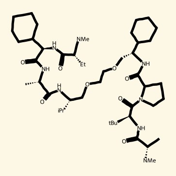 CC[C@@H](NC)C(=O)N[C@@H](C(=O)N[C@@H](C)C(=O)N[C@H](COCCOC[C@@H](NC(=O)C1CCCN1C(=O)[C@@H](NC(=O)[C@H](C)NC)C(C)(C)C)C1CCCCC1)C(C)C)C1CCCCC1